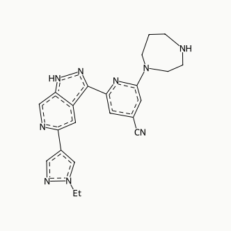 CCn1cc(-c2cc3c(-c4cc(C#N)cc(N5CCCNCC5)n4)n[nH]c3cn2)cn1